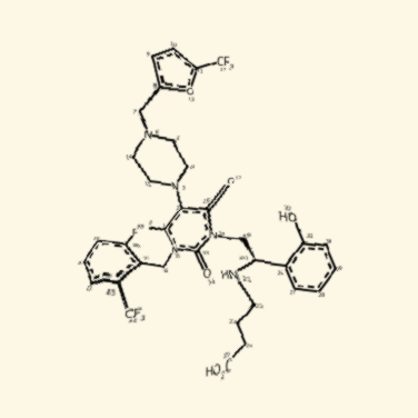 Cc1c(N2CCN(Cc3ccc(C(F)(F)F)o3)CC2)c(=O)n(C[C@H](NCCCC(=O)O)c2ccccc2O)c(=O)n1Cc1c(F)cccc1C(F)(F)F